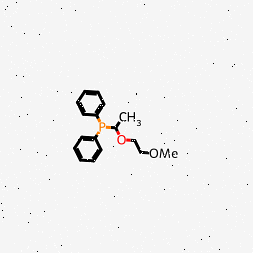 COCCOC(C)P(c1ccccc1)c1ccccc1